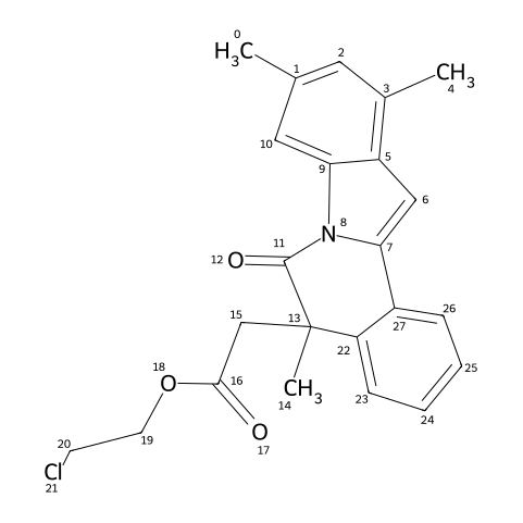 Cc1cc(C)c2cc3n(c2c1)C(=O)C(C)(CC(=O)OCCCl)c1ccccc1-3